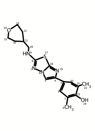 Cc1cc(-c2cn3nc(NCC4CCOCC4)sc3n2)cc(C)c1O